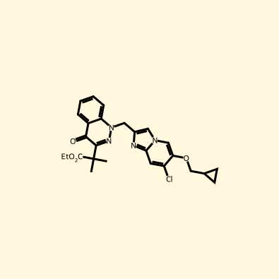 CCOC(=O)C(C)(C)c1nn(Cc2cn3cc(OCC4CC4)c(Cl)cc3n2)c2ccccc2c1=O